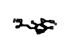 COc1c(Cl)ccc(CCC(=O)O)c1F